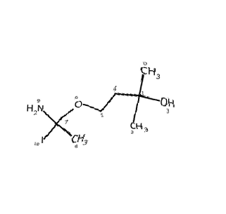 CC(C)(O)CCOC(C)(N)I